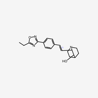 CCc1nc(-c2ccc(/C=C/C3C(O)C4CCN3CC4)cc2)no1